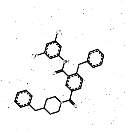 O=C(Nc1cc(C(F)(F)F)cc(C(F)(F)F)c1)c1cc(C(=O)N2CCC(Cc3ccccc3)CC2)ccc1Cc1ccccc1